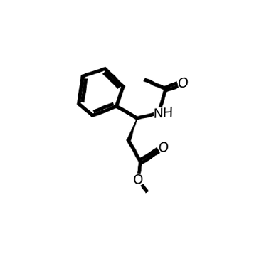 COC(=O)C[C@H](NC(C)=O)c1ccccc1